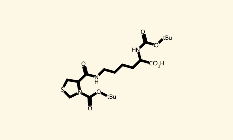 CC(C)(C)OC(=O)NC(CCCCNC(=O)C1CSCN1C(=O)OC(C)(C)C)C(=O)O